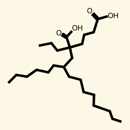 CCCCCCCCC(CCCCCC)CC(CCC)(CCCC(=O)O)C(=O)O